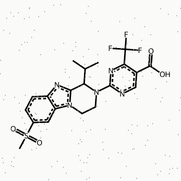 CC(C)C1c2nc3ccc(S(C)(=O)=O)cc3n2CCN1c1ncc(C(=O)O)c(C(F)(F)F)n1